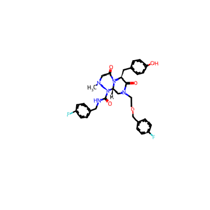 CN1CC(=O)N2[C@@H](Cc3ccc(O)cc3)C(=O)N(CCOCc3ccc(F)cc3)C[C@@H]2N1C(=O)NCc1ccc(F)cc1